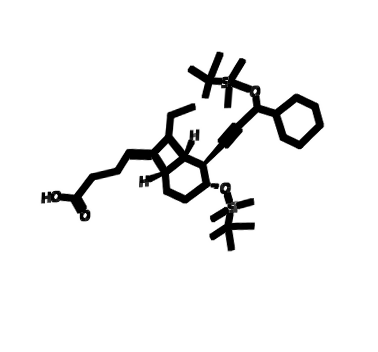 CCC1/C(=C/CCC(=O)O)[C@H]2CC[C@@H](O[Si](C)(C)C(C)(C)C)[C@H](C#CC(O[Si](C)(C)C(C)(C)C)C3CCCCC3)[C@@H]12